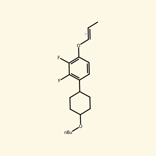 C/C=C/Oc1ccc(C2CCC(OCCCC)CC2)c(F)c1F